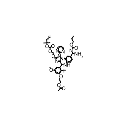 CCCOC(=O)N=C(N)c1ccc(NC(C2=N[C@@H](OCOC(=O)OC(C)(C)CF)N(c3ncccn3)N2)c2cc(OC)cc(OCCOC(C)=O)c2F)cc1